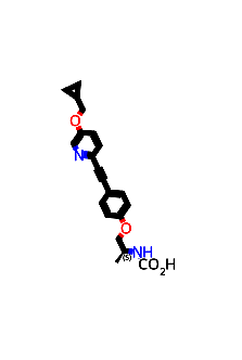 C[C@@H](COc1ccc(C#Cc2ccc(OCC3CC3)cn2)cc1)NC(=O)O